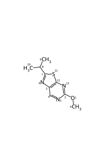 COc1ncc2nc(C(C)C)sc2n1